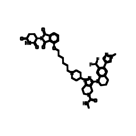 CNC(=O)N1CCc2c(c(N3CCCc4cc(-c5cnn(C)c5)c(C(F)F)cc43)nn2C2CCN(CCCCCCOc3cccc4c3C(=O)N(C3CCC(=O)NC3=O)C4=O)CC2)C1